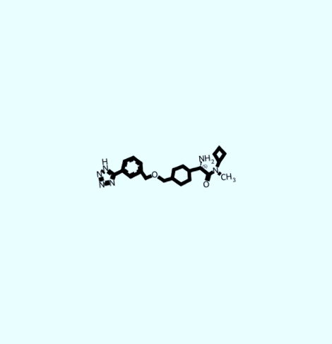 CN(C(=O)[C@@H](N)C1CCC(COCc2cccc(-c3nnn[nH]3)c2)CC1)C1CCC1